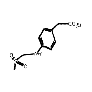 CCOC(=O)Cc1ccc(NCS(C)(=O)=O)cc1